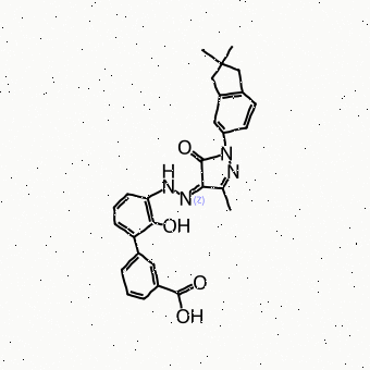 CC1=NN(c2ccc3c(c2)CC(C)(C)C3)C(=O)/C1=N\Nc1cccc(-c2cccc(C(=O)O)c2)c1O